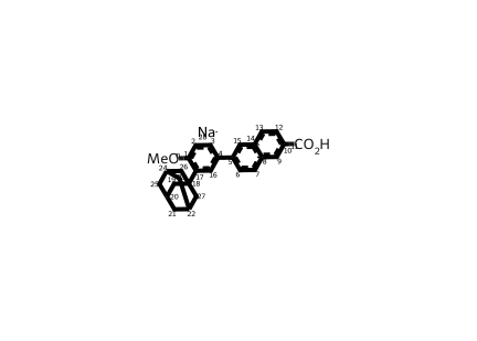 COc1ccc(-c2ccc3cc(C(=O)O)ccc3c2)cc1C12CC3CC(CC(C3)C1)C2.[Na]